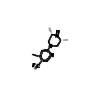 Cc1cc(N2C[C@@H](C)N[C@@H](C)C2)ncc1C(F)(F)F